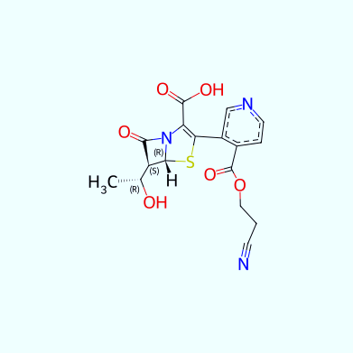 C[C@@H](O)[C@H]1C(=O)N2C(C(=O)O)=C(c3cnccc3C(=O)OCCC#N)S[C@H]12